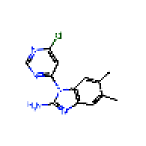 Cc1cc2nc(N)n(-c3cc(Cl)ncn3)c2cc1C